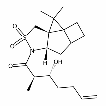 C=CCC[C@@H](O)[C@@H](C)C(=O)N1[C@H]2CC3CCC34C(C)(C)[C@@]24CS1(=O)=O